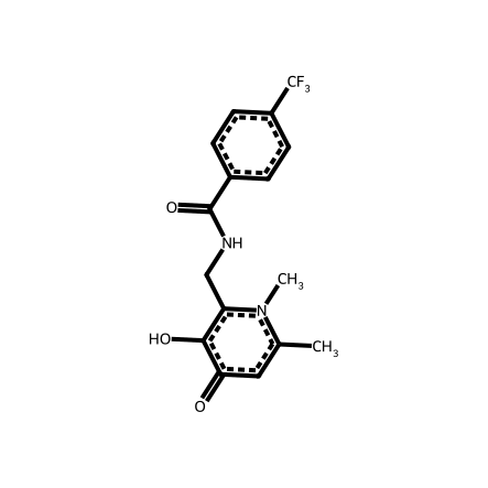 Cc1cc(=O)c(O)c(CNC(=O)c2ccc(C(F)(F)F)cc2)n1C